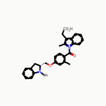 Cc1cc(OC[C@H]2Cc3ccccc3N2C(C)C)ccc1C(=O)n1c(C)c(CC(=O)O)c2ccccc21